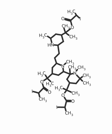 CC1CC(C(C)(C)OC(=O)C(C)I)CC(CCC2CC(C(C)(C)OC(=O)C(C)I)CC(C3(C)CC(C(C)(C)OC(=O)C(C)I)CC(C)(C)N3C)N2C)N1